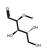 O=C[C@@H](OF)[C@H](O)[C@H](O)CO